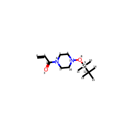 C=CC(=O)N1CCN(O[Si](C)(C)C(C)(C)C)CC1